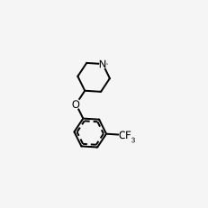 FC(F)(F)c1cccc(OC2CC[N]CC2)c1